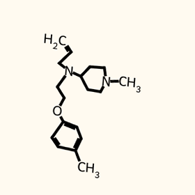 C=CCN(CCOc1ccc(C)cc1)C1CCN(C)CC1